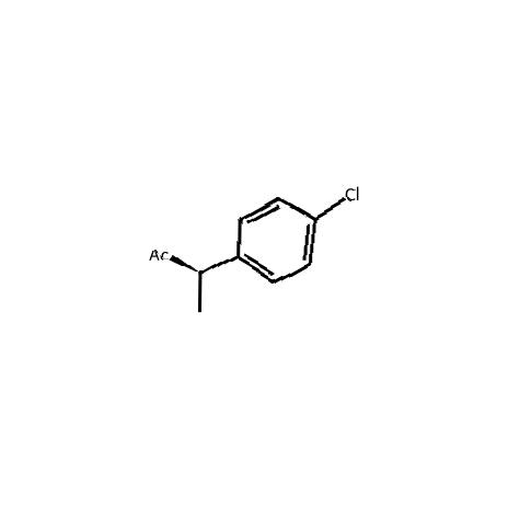 CC(=O)[C@H](C)c1ccc(Cl)cc1